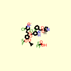 O=C(O)C(F)(F)F.O=C(OC(Cc1c(Cl)c[n+]([O-])cc1Cl)c1ccc(OC(F)F)c(OCC2CC2)c1)c1ccc(NC(C(=O)O[C@H]2CN3CCC2CC3)c2ccccc2F)cc1